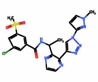 CC(NC(=O)c1cc(Cl)cc(S(C)(=O)=O)c1)c1nccnc1-c1cn(-c2ccn(C)n2)nn1